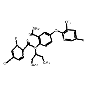 COCC(COC)N(C(=O)C1C=CC(Cl)=CC1F)c1ccc(Oc2ncc(I)cc2C(F)(F)F)cc1C(=O)OC